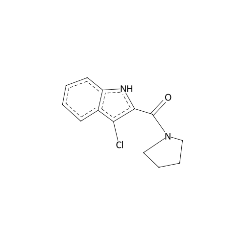 O=C(c1[nH]c2ccccc2c1Cl)N1CCCC1